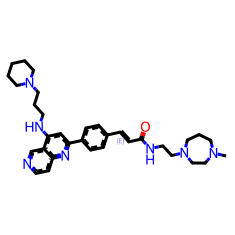 CN1CCCN(CCNC(=O)/C=C/c2ccc(-c3cc(NCCCN4CCCCC4)c4cnccc4n3)cc2)CC1